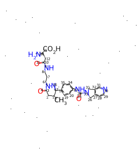 CC1CC(=O)N(CCCNC(=O)CC(N)C(=O)O)N=C1c1ccc(NC(=O)N2Cc3ccncc3C2)cc1